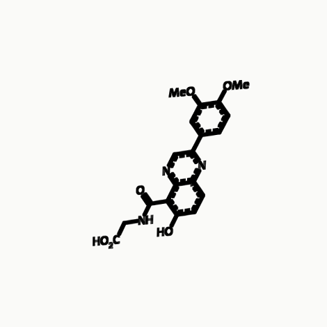 COc1ccc(-c2cnc3c(C(=O)NCC(=O)O)c(O)ccc3n2)cc1OC